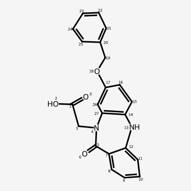 O=C(O)CN1C(=O)c2ccccc2Nc2ccc(OCc3ccccc3)cc21